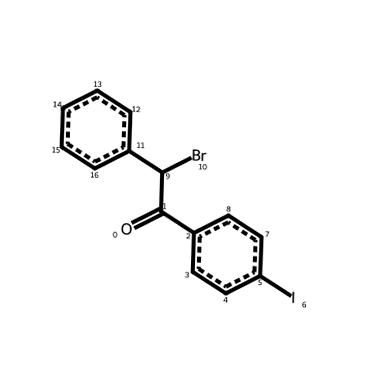 O=C(c1ccc(I)cc1)C(Br)c1ccccc1